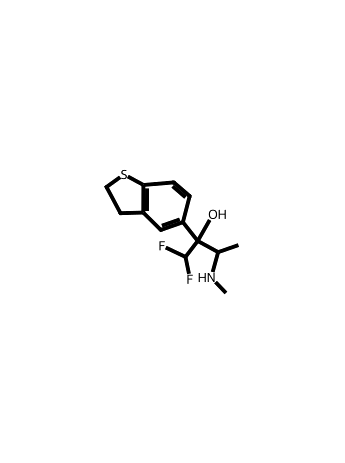 CNC(C)C(O)(c1ccc2c(c1)CCS2)C(F)F